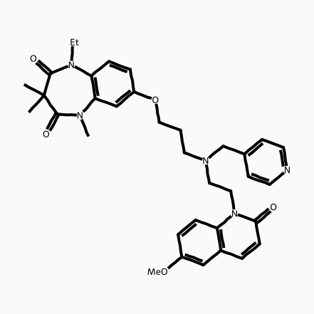 CCN1C(=O)C(C)(C)C(=O)N(C)c2cc(OCCCN(CCn3c(=O)ccc4cc(OC)ccc43)Cc3ccncc3)ccc21